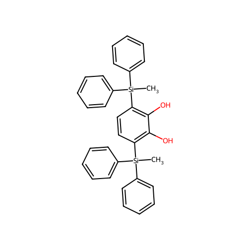 C[Si](c1ccccc1)(c1ccccc1)c1ccc([Si](C)(c2ccccc2)c2ccccc2)c(O)c1O